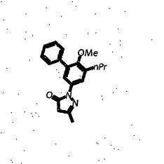 CCCc1cc(N2N=C(C)CC2=O)cc(-c2ccccc2)c1OC